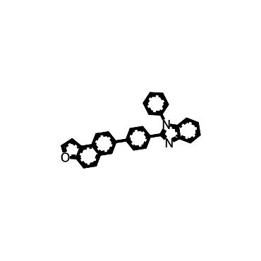 c1ccc(-n2c(-c3ccc(-c4ccc5c(ccc6occc65)c4)cc3)nc3ccccc32)cc1